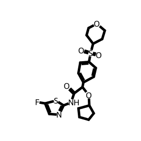 O=C(Nc1ncc(F)s1)C(OC1CCCC1)c1ccc(S(=O)(=O)C2CCOCC2)cc1